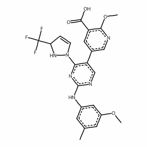 COc1cc(C)cc(Nc2ncc(-c3cnc(OC)c(C(=O)O)c3)c(N3C=CC(C(F)(F)F)N3)n2)c1